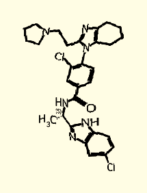 C[C@H](NC(=O)c1ccc(-n2c(CCN3CCCC3)nc3c2CCCC3)c(Cl)c1)c1nc2cc(Cl)ccc2[nH]1